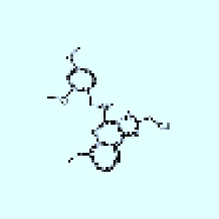 COc1ccc(CNc2nc3c(OC)cccc3c3nc(CO)nn23)c(OC)c1